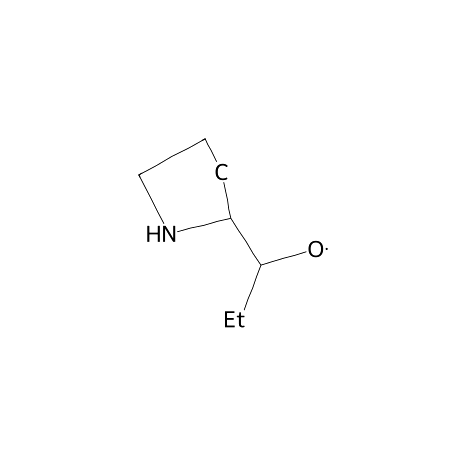 CCC([O])C1CCCN1